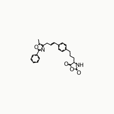 Cc1oc(-c2ccccc2)nc1CC=Cc1ccc(CCCC2NC(=O)OC2=O)cc1